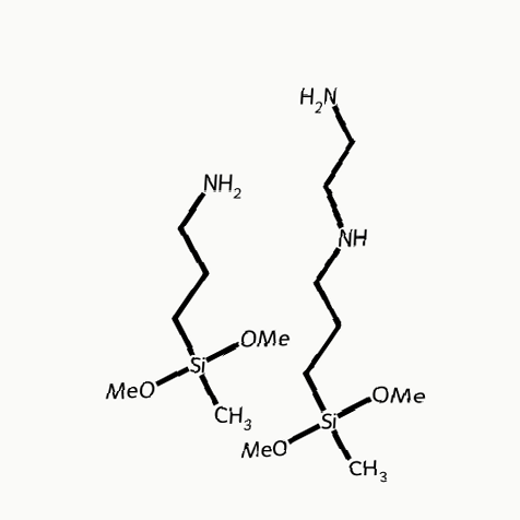 CO[Si](C)(CCCN)OC.CO[Si](C)(CCCNCCN)OC